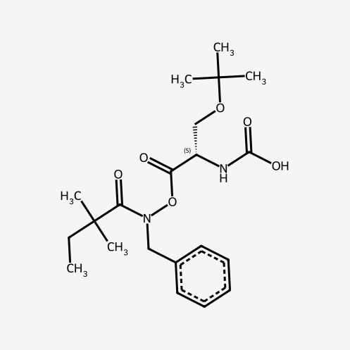 CCC(C)(C)C(=O)N(Cc1ccccc1)OC(=O)[C@H](COC(C)(C)C)NC(=O)O